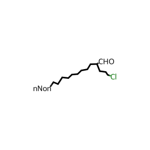 CCCCCCCCCCCCCCCCCCC(C=O)CCCCl